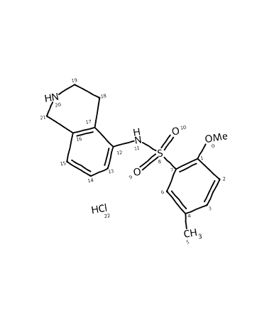 COc1ccc(C)cc1S(=O)(=O)Nc1cccc2c1CCNC2.Cl